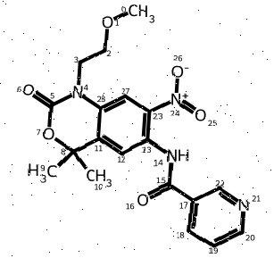 COCCN1C(=O)OC(C)(C)c2cc(NC(=O)c3cccnc3)c([N+](=O)[O-])cc21